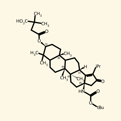 CC(C)C1=C2[C@H]3CCC4[C@@]5(C)CC[C@H](OC(=O)CC(C)(C)C(=O)O)C(C)(C)C5CC[C@@]4(C)[C@]3(C)CC[C@@]2(NC(=O)OC(C)(C)C)CC1=O